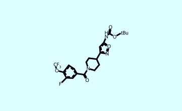 CC(C)(C)OC(=O)Nc1cc(C2CCN(C(=O)c3ccc(OC(F)(F)F)c(F)c3)CC2)no1